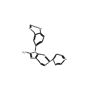 Cc1nc2ccc(-c3ccncc3)nc2n1-c1ccc2[nH]cnc2c1